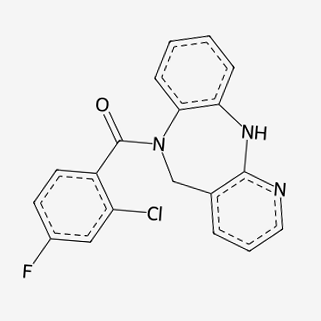 O=C(c1ccc(F)cc1Cl)N1Cc2cccnc2Nc2ccccc21